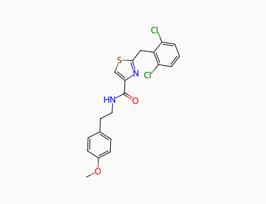 COc1ccc(CCNC(=O)c2csc(Cc3c(Cl)cccc3Cl)n2)cc1